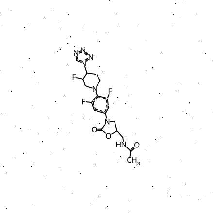 CC(=O)NCC1CN(c2cc(F)c(N3CCC(n4cnnn4)C(F)C3)c(F)c2)C(=O)O1